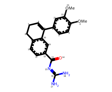 COc1ccc(C2=CCCc3ccc(C(=O)N=C(N)N)cc32)cc1OC